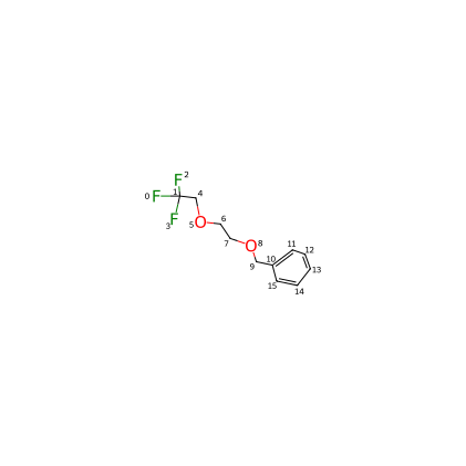 FC(F)(F)COCCOCc1ccccc1